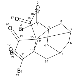 O=C(Br)C12CC3CC(C1)CC(C(=O)Br)(C3)C2(C(=O)Br)C(=O)Br